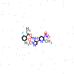 Cc1nc(-c2cnn(C)c2NC(=O)O[C@H](C)c2ccccc2F)ccc1[N+](=O)[O-]